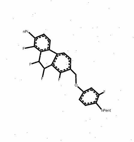 CCCCCc1ccc(OCc2ccc3c(c2F)C(F)C(F)c2c-3ccc(CCC)c2F)cc1F